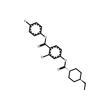 CC[C@H]1CC[C@H](C(=O)Oc2ccc(C(=O)Oc3ccc(F)cc3)c(Cl)c2)CC1